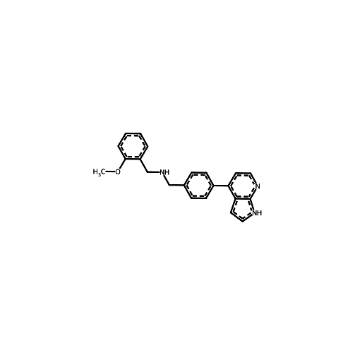 COc1ccccc1CNCc1ccc(-c2ccnc3[nH]ccc23)cc1